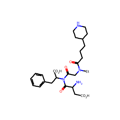 CCN(CC(=O)N(C(=O)C(N)CC(=O)O)C(Cc1ccccc1)C(=O)O)C(=O)CCCC1CCNCC1